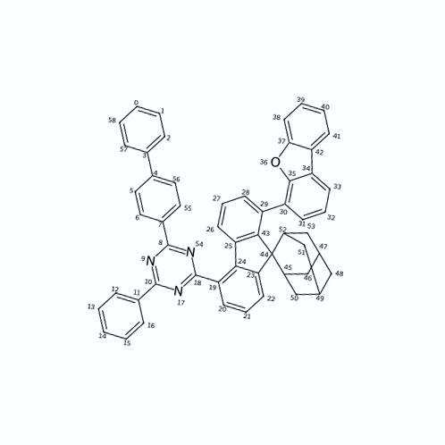 c1ccc(-c2ccc(-c3nc(-c4ccccc4)nc(-c4cccc5c4-c4cccc(-c6cccc7c6oc6ccccc67)c4C54C5CC6CC(C5)CC4C6)n3)cc2)cc1